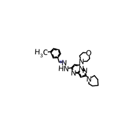 Cc1cccc(/C=N/Nc2cc(N3CCOCC3)n3nc(N4CCCCC4)cc3n2)c1